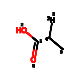 O=CO.[2H]CC